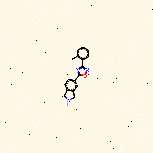 Cc1ccccc1-c1noc(-c2ccc3c(c2)CNC3)n1